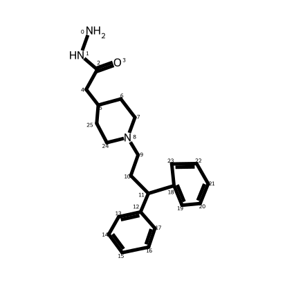 NNC(=O)CC1CCN(CCC(c2ccccc2)c2ccccc2)CC1